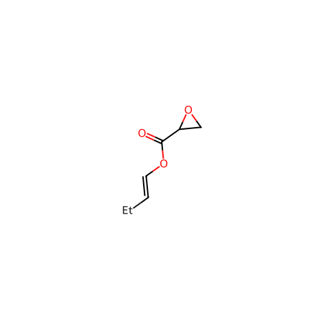 CCC=COC(=O)C1CO1